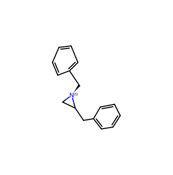 c1ccc(CC2C[N@@]2Cc2ccccc2)cc1